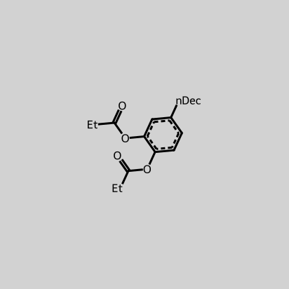 CCCCCCCCCCc1ccc(OC(=O)CC)c(OC(=O)CC)c1